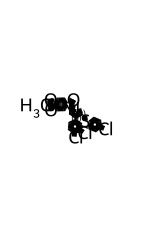 CS(=O)(=O)N1CCN(C(=O)N2C[C@H](CSc3ccc(Cl)cc3)[C@@H](c3ccc(Cl)c(Cl)c3)C2)CC1